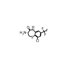 N[C@H]1CSc2c(Cl)cc(C(F)(F)F)cc2NC1=O